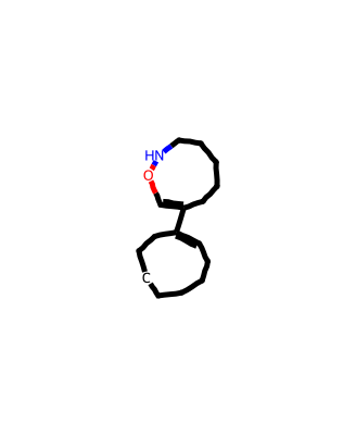 C1=C(C2=CONCCCCC2)CCCCCCC1